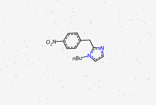 CCCCn1ccnc1Cc1ccc([N+](=O)[O-])cc1